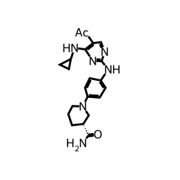 CC(=O)c1cnc(Nc2ccc(N3CCC[C@@H](C(N)=O)C3)cc2)nc1NC1CC1